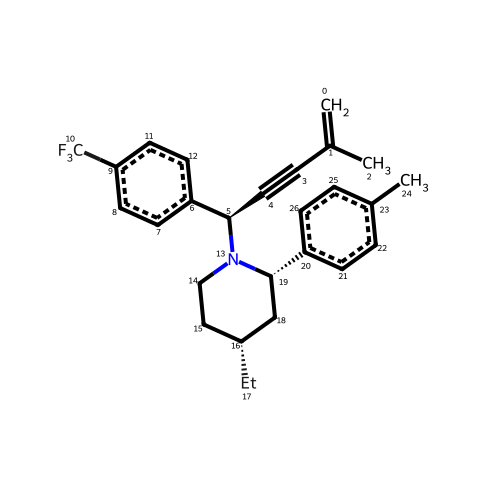 C=C(C)C#C[C@H](c1ccc(C(F)(F)F)cc1)N1CC[C@@H](CC)C[C@H]1c1ccc(C)cc1